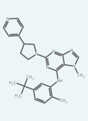 Cc1ccc(C(C)(C)C)cc1Nc1nc(N2CCC(c3ccncc3)C2)nc2ncn(C)c12